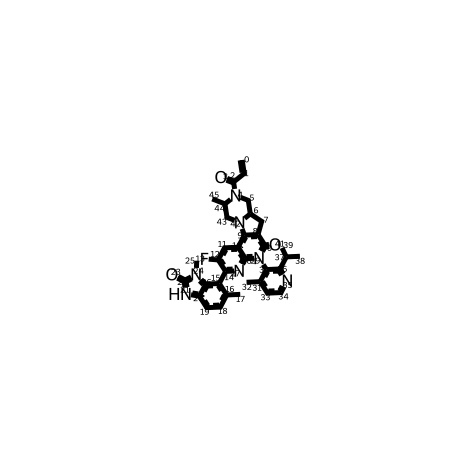 C=CC(=O)N1CC2Cc3c(c4cc(F)c(-c5c(C)ccc6[nH]c(=O)n(C)c56)nc4n(-c4c(C)ccnc4C(C)C)c3=O)N2CC1C